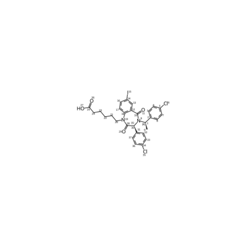 C[C@H](c1ccc(Cl)cc1)N1C(=O)c2cc(I)ccc2N(CCCCCC(=O)O)C(=O)[C@@H]1c1ccc(Cl)cc1